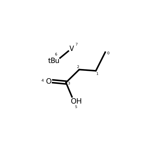 CCCC(=O)O.C[C](C)(C)[V]